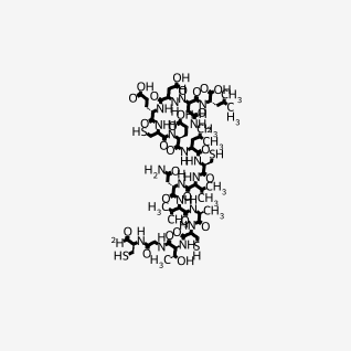 [2H]C(=O)[C@H](CS)NC(=O)CNC(=O)[C@@H](NC(=O)C(CS)NC(=O)[C@H](C)NC(=O)C(NC(=O)[C@H](CC(N)=O)NC(=O)C(NC(=O)[C@H](CS)NC(=O)C(CC(C)C)NC(=O)[C@H](CCC(=O)O)NC(=O)C(CS)NC(=O)[C@H](CCC(=O)O)NC(=O)C(CC(=O)O)NNC(CC(N)=O)C(=O)N[C@@H](CC(C)C)C(=O)O)C(C)C)C(C)C)[C@@H](C)O